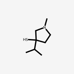 CC(C)C1(S)CCN(C)C1